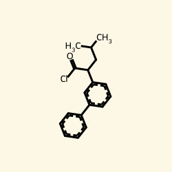 CC(C)CC(C(=O)Cl)c1cccc(-c2ccccc2)c1